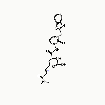 CN(C)C(=O)/C=C/CCC(NC(=O)O)C(=O)Nc1cccn(Cc2nc3ccccc3s2)c1=O